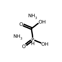 N.N.O=C(O)[PH](=O)O